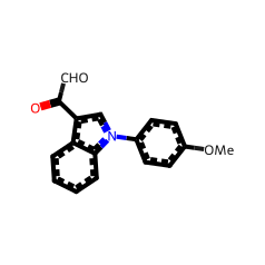 COc1ccc(-n2cc(C(=O)C=O)c3ccccc32)cc1